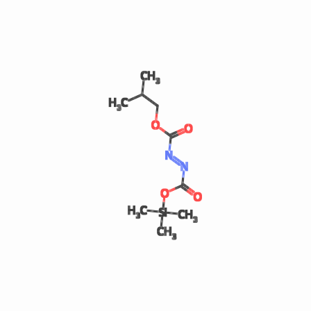 CC(C)COC(=O)N=NC(=O)O[Si](C)(C)C